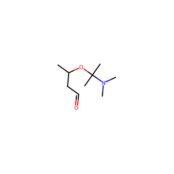 CC(CC=O)OC(C)(C)N(C)C